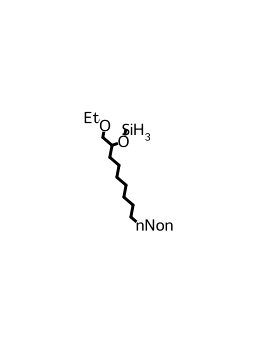 CCCCCCCCCCCCCCCCC(COCC)O[SiH3]